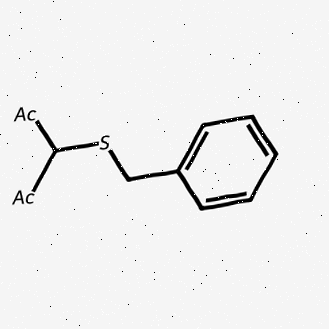 CC(=O)C(SCc1ccccc1)C(C)=O